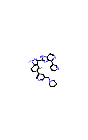 Fc1c(-c2cncc(CN3CCCCC3)c2)ccc2[nH]nc(-c3nc4c(-c5cccnc5)nccc4[nH]3)c12